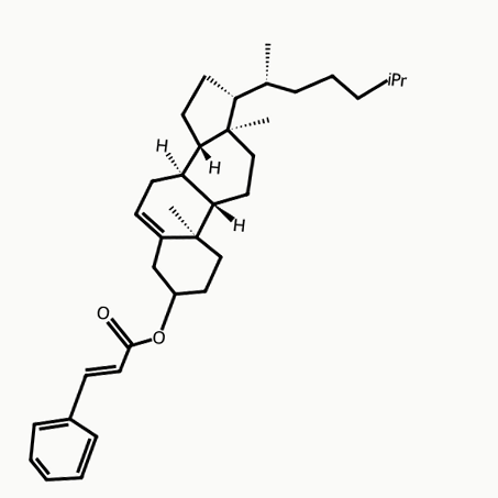 CC(C)CCC[C@@H](C)[C@H]1CC[C@H]2[C@@H]3CC=C4CC(OC(=O)C=Cc5ccccc5)CC[C@]4(C)[C@H]3CC[C@]12C